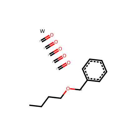 CCCCO[C]c1ccccc1.[C]=O.[C]=O.[C]=O.[C]=O.[C]=O.[W]